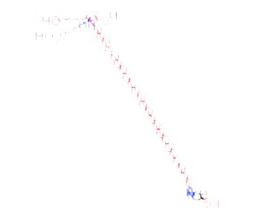 O=C(O)CCCCCCCCCCC(CCCCCCCCCCCO)(C(=O)O)C(=O)NCCOCCOCCOCCOCCOCCOCCOCCOCCOCCOCCOCCOCCOCCOCCOCCOCCOCCOCCOCCOCCOCCOCCOCCn1nnc2c1CC[C@H]1C(CC2)[C@H]1CO